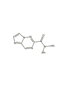 CCCN(CCC)C(=O)c1ncc2nccn2n1